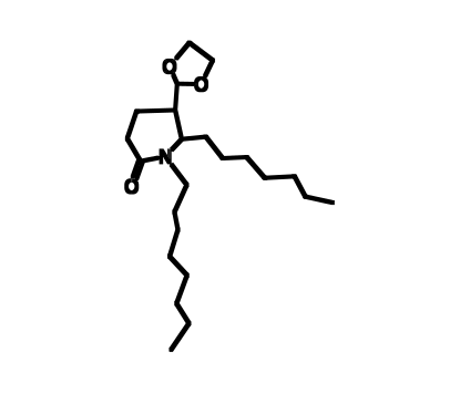 CCCCCCCCN1C(=O)CCC(C2OCCO2)C1CCCCCCC